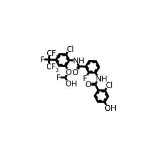 O=C(Nc1cccc(C(=O)Nc2c(Cl)cc(C(F)(C(F)(F)F)C(F)(F)F)cc2OC(O)F)c1F)c1ccc(O)cc1Cl